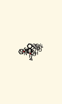 CN(C)S(=O)(=O)NC(=O)c1cc(F)c2nc(N3C4CC(NCc5c(-c6c(Cl)cccc6Cl)noc5C5CC5)CC3C4)sc2c1